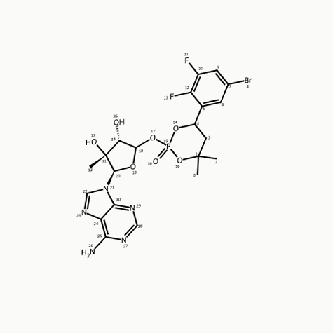 CC1(C)CC(c2cc(Br)cc(F)c2F)OP(=O)(OC2O[C@@H](n3cnc4c(N)ncnc43)[C@](C)(O)[C@@H]2O)O1